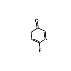 O=C1C=NC(F)=CC1